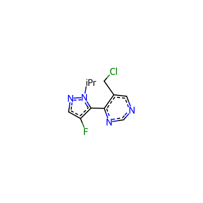 CC(C)n1ncc(F)c1-c1ncncc1CCl